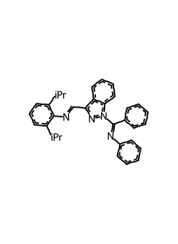 CC(C)c1cccc(C(C)C)c1/N=C/c1nn(/C(=N/c2ccccc2)c2ccccc2)c2ccccc12